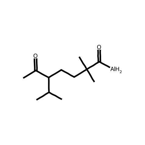 CC(=O)C(CCC(C)(C)[C](=O)[AlH2])C(C)C